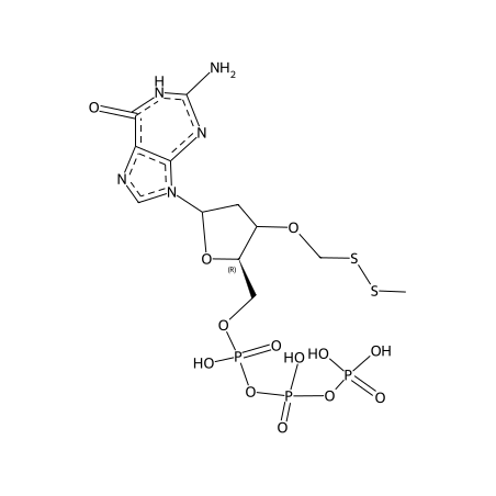 CSSCOC1CC(n2cnc3c(=O)[nH]c(N)nc32)O[C@@H]1COP(=O)(O)OP(=O)(O)OP(=O)(O)O